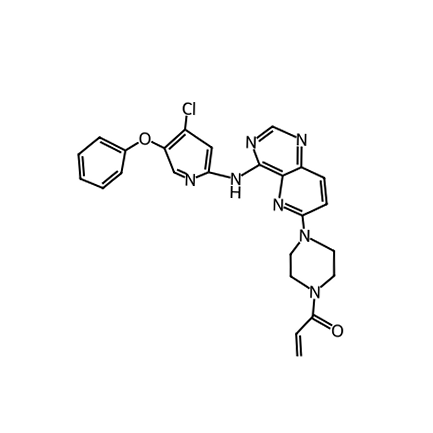 C=CC(=O)N1CCN(c2ccc3ncnc(Nc4cc(Cl)c(Oc5ccccc5)cn4)c3n2)CC1